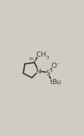 C[C@@H]1CCCN1[S+]([O-])C(C)(C)C